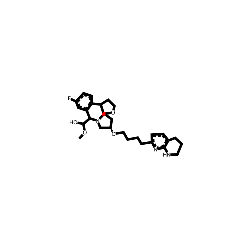 COC(O)C(c1cc(F)ccc1C1CCOC1)N1CC[C@@H](OCCCCc2ccc3c(n2)NCCC3)C1